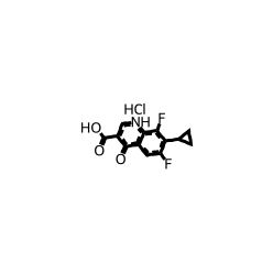 Cl.O=C(O)c1c[nH]c2c(F)c(C3CC3)c(F)cc2c1=O